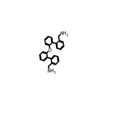 NCc1ccccc1-c1ccccc1Oc1ccccc1-c1ccccc1CN